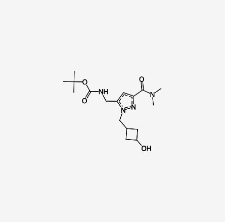 CN(C)C(=O)c1cc(CNC(=O)OC(C)(C)C)n(CC2CC(O)C2)n1